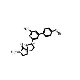 CCOc1ccc(-c2cc(C)nc([C@H]3CC[C@@]4(CCN(C)C4=O)N3)c2)cc1